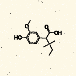 CCC(C)(C)C(C(=O)O)c1ccc(O)c(OC)c1